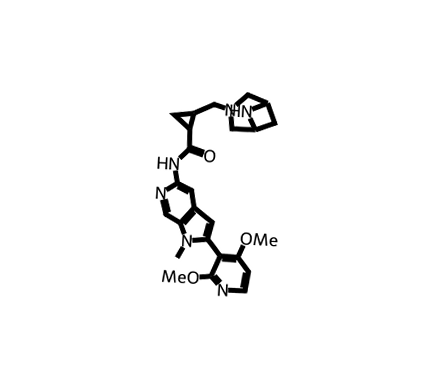 COc1ccnc(OC)c1-c1cc2cc(NC(=O)C3CC3CN3CC4CC(C3)N4)ncc2n1C